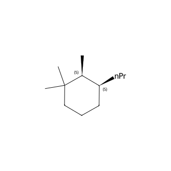 CCC[C@H]1CCCC(C)(C)[C@H]1C